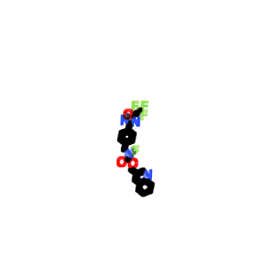 O=C(OCc1cnc2c(c1)CCCC2)N(F)Cc1ccc(-c2noc(C(F)(F)F)n2)cc1